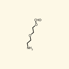 NCCOCCO[C]=O